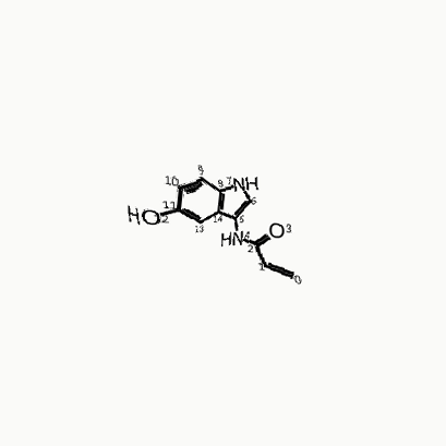 C=CC(=O)Nc1c[nH]c2ccc(O)cc12